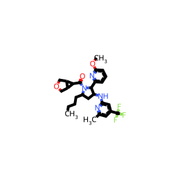 CCCCC1CC(Nc2cc(C(F)(F)F)cc(C)n2)C(c2cccc(OC)n2)N1C(=O)C1C2COCC21